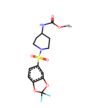 CC(C)(C)OC(=O)NC1CCN(S(=O)(=O)c2ccc3c(c2)OC(F)(F)O3)CC1